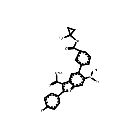 CCN(C#N)c1cc2oc(-c3ccc(F)cc3)c(C(=O)NC)c2cc1-c1cccc(C(=O)NC2(C(F)(F)F)CC2)c1